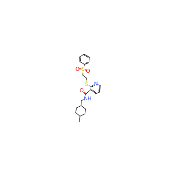 CC1CCC(CNC(=O)c2cccnc2SCCS(=O)(=O)c2ccccc2)CC1